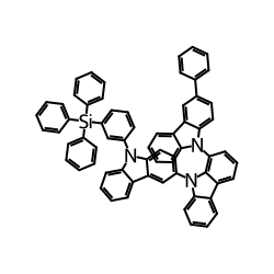 c1ccc(-c2ccc3c(c2)c2ccccc2n3-c2cccc3c4ccccc4n(-c4ccc5c(c4)c4ccccc4n5-c4cccc([Si](c5ccccc5)(c5ccccc5)c5ccccc5)c4)c23)cc1